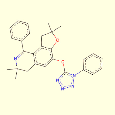 CC1(C)Cc2cc(Oc3nnnn3-c3ccccc3)c3c(c2C(c2ccccc2)=N1)CC(C)(C)O3